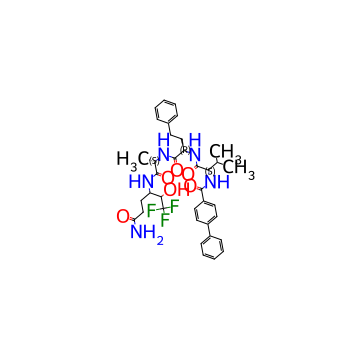 CC(C)[C@H](NC(=O)c1ccc(-c2ccccc2)cc1)C(=O)N[C@H](CCc1ccccc1)C(=O)N[C@@H](C)C(=O)NC(CCC(N)=O)C(O)C(F)(F)F